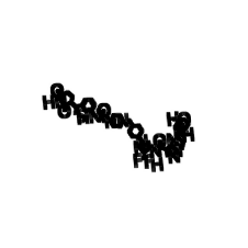 O=C1CCC(c2csc3c(NC(=O)CN4CCN(CC5CCC(n6cc(NC(=O)c7cnn8ccc(N9C[C@H]%10C[C@@H]9CO%10)nc78)c(C(F)F)n6)CC5)CC4)cccc23)C(=O)N1